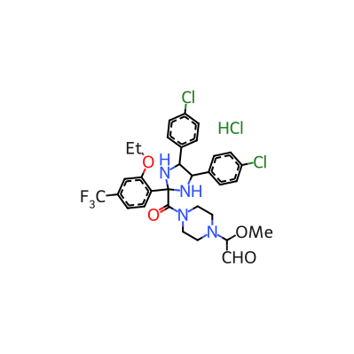 CCOc1cc(C(F)(F)F)ccc1C1(C(=O)N2CCN(C(C=O)OC)CC2)NC(c2ccc(Cl)cc2)C(c2ccc(Cl)cc2)N1.Cl